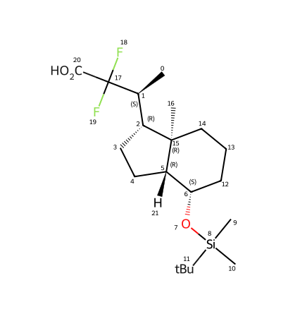 C[C@@H]([C@H]1CC[C@H]2[C@@H](O[Si](C)(C)C(C)(C)C)CCC[C@]12C)C(F)(F)C(=O)O